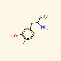 N[C@@H](Cc1ccc(I)c(O)c1)C(=O)O